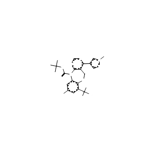 Cn1cc(-c2ncnc3c2COc2c(cc(Br)cc2C(F)(F)F)N3C(=O)OC(C)(C)C)cn1